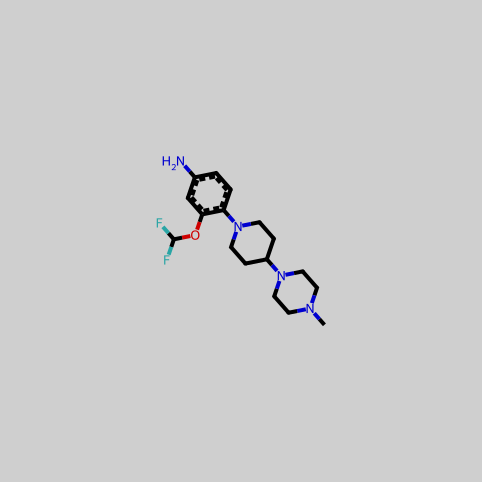 CN1CCN(C2CCN(c3ccc(N)cc3OC(F)F)CC2)CC1